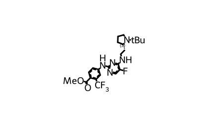 COC(=O)c1ccc(Nc2ncc(F)c(NCC[C@@H]3CCCN3C(C)(C)C)n2)cc1C(F)(F)F